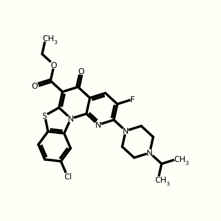 CCOC(=O)c1c(=O)c2cc(F)c(N3CCN(C(C)C)CC3)nc2n2c1sc1ccc(Cl)cc12